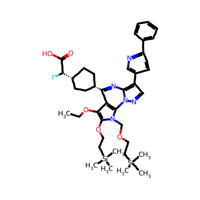 CCOc1c(OCC[Si](C)(C)C)n(COCC[Si](C)(C)C)c2c1c([C@H]1CC[C@@H](C(F)C(=O)O)CC1)nc1c(-c3ccc(-c4ccccc4)nc3)cnn12